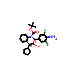 CC(C)(C)OC(=O)N(Cc1cc(F)c(N)c(F)c1)c1ccccc1[C@@H](C(=O)O)C1CCCC1